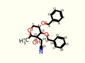 CC1OC[C@H](OCc2ccccc2)C(OCc2ccccc2)[C@@]1(O)CC#N